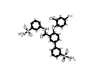 NS(=O)(=O)c1cccc(NC(=O)c2cc(-c3cccc(S(N)(=O)=O)c3)ccc2Oc2ccc(F)cc2Cl)c1